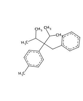 Cc1ccc(C(Cc2ccccc2)(C(C)C)C(C)C)cc1